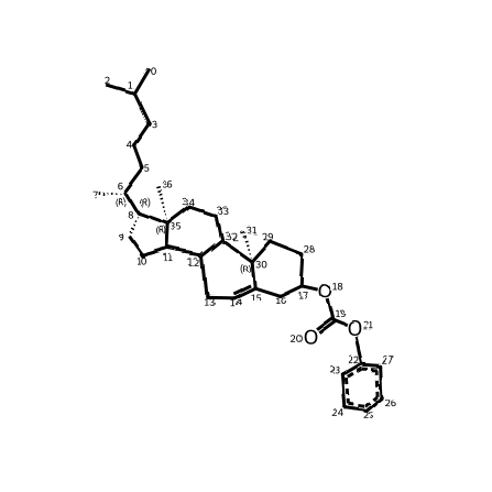 CC(C)CCC[C@@H](C)[C@H]1CCC2C3CC=C4CC(OC(=O)Oc5ccccc5)CC[C@]4(C)C3CC[C@@]21C